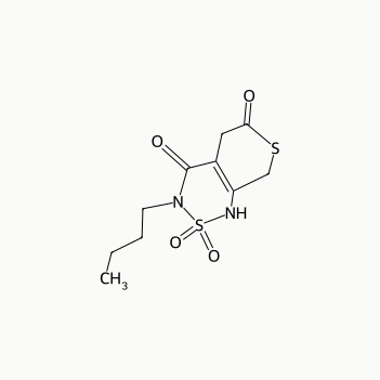 CCCCN1C(=O)C2=C(CSC(=O)C2)NS1(=O)=O